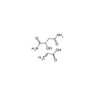 C=CC(=O)O.NC(=O)CC(O)C(N)=O